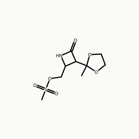 CC1(C2C(=O)NC2COS(C)(=O)=O)OCCO1